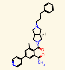 Cc1cc(-c2ccncc2)cc(C(N)=O)c1C(=O)N1CC2CN(CC[CH]c3ccccc3)C[C@H]2C1